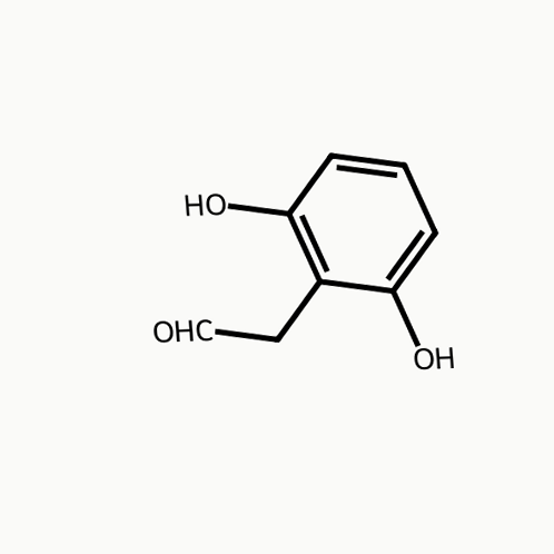 O=CCc1c(O)cccc1O